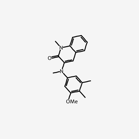 COc1cc(N(C)c2cc3ccccc3n(C)c2=O)cc(C)c1C